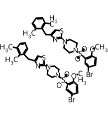 COc1ccc(Br)cc1S(=O)(=O)N1CCN(c2nc(Cc3c(C)cccc3C)cs2)CC1.COc1ccc(Br)cc1S(=O)(=O)N1CCN(c2nc(Cc3cccc(C)c3C)cs2)CC1